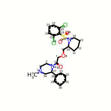 CN1CCN(C(=O)COCC2CCCCN2S(=O)(=O)c2c(Cl)cccc2Cl)C(c2ccccc2)C1